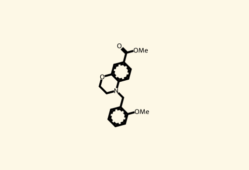 COC(=O)c1ccc2c(c1)OCCN2Cc1ccccc1OC